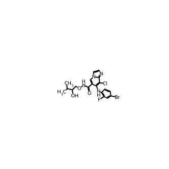 CC(C)C(O)CONC(=O)c1cn2ccnc2c(Cl)c1Nc1ccc(Br)cc1F